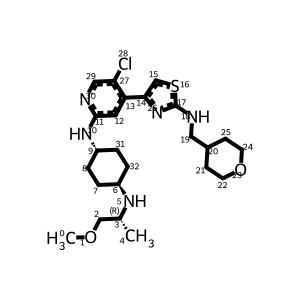 COC[C@@H](C)N[C@H]1CC[C@H](Nc2cc(-c3csc(NCC4CCOCC4)n3)c(Cl)cn2)CC1